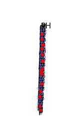 P#P=P\P=P/P=P\P=P/P=P\P=P/P=P\P=P/P=P\P=P/P=P\P=P/P=P\P=P/P=P\P=P/P=P\P=P/P=P\P=P/P=P\P=P/P=P\P=P/P=P\P=P/P=P\P=P/P=P\P=P/P=P\P=P/P=P\P=P/P=P